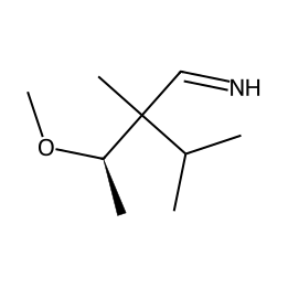 CO[C@H](C)C(C)(C=N)C(C)C